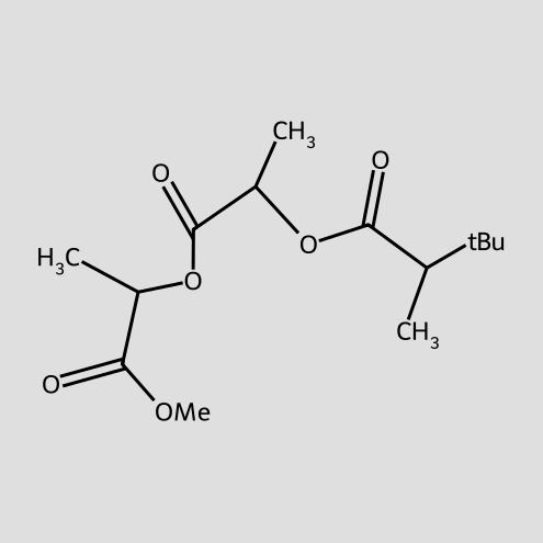 COC(=O)C(C)OC(=O)C(C)OC(=O)C(C)C(C)(C)C